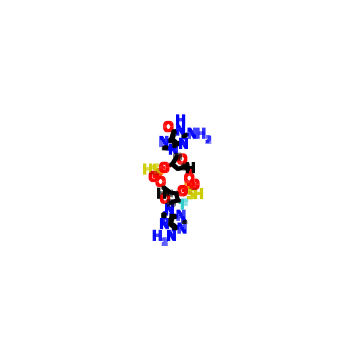 Nc1nc2c(ncn2[C@@H]2O[C@@H]3COP(=O)(S)OC4C(F)[C@H](n5cnc6c(N)ncnc65)O[C@@H]4COP(=O)(S)OC2C3)c(=O)[nH]1